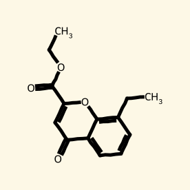 CCOC(=O)c1cc(=O)c2cccc(CC)c2o1